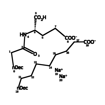 CCCCCCCCCCCC(=O)N[C@@H](CCC(=O)[O-])C(=O)O.CCCCCCCCCCCCCCCCCC(=O)[O-].[Na+].[Na+]